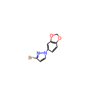 Brc1ccn(-c2ccc3c(c2)OCO3)n1